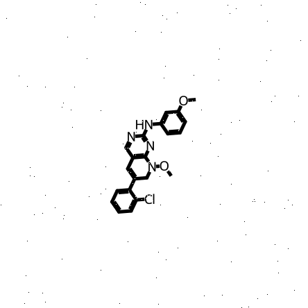 COc1cccc(Nc2ncc3c(n2)N(OC)CC(c2ccccc2Cl)=C3)c1